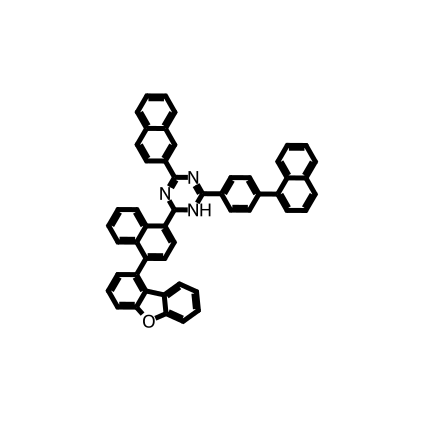 c1ccc2cc(C3=NC(c4ccc(-c5cccc6oc7ccccc7c56)c5ccccc45)NC(c4ccc(-c5cccc6ccccc56)cc4)=N3)ccc2c1